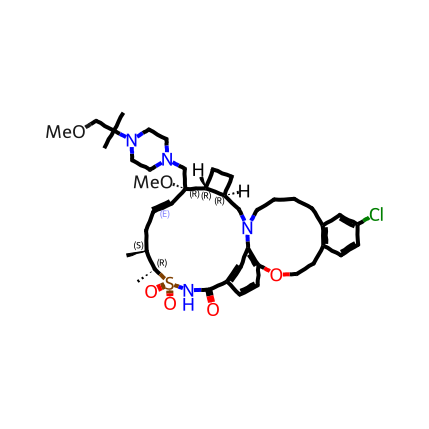 COCC(C)(C)N1CCN(C[C@]2(OC)/C=C/C[C@H](C)[C@@H](C)S(=O)(=O)NC(=O)c3ccc4c(c3)N(CCCCc3cc(Cl)ccc3CCO4)C[C@@H]3CC[C@H]32)CC1